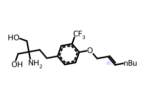 CCCC/C=C/COc1ccc(CCC(N)(CO)CO)cc1C(F)(F)F